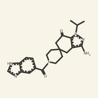 CC(C)n1nc(N)c2c1C(=O)CC1(CCN(C(=O)c3ccc4[nH]cnc4c3)CC1)C2